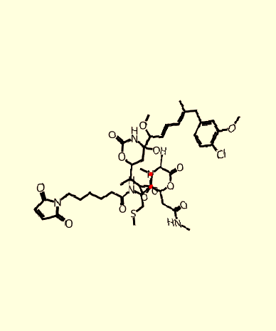 CNC(=O)CC(OC(=O)[C@H](C)N(C)C(=O)C(CSC)NC(=O)CCCCCN1C(=O)C=CC1=O)C1(C)OC1C(C)C1CC(O)(C(/C=C/C=C(\C)Cc2ccc(Cl)c(OC)c2)OC)NC(=O)O1